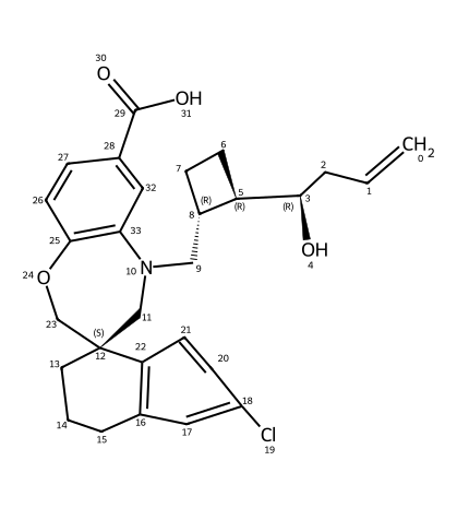 C=CC[C@@H](O)[C@@H]1CC[C@H]1CN1C[C@@]2(CCCc3cc(Cl)ccc32)COc2ccc(C(=O)O)cc21